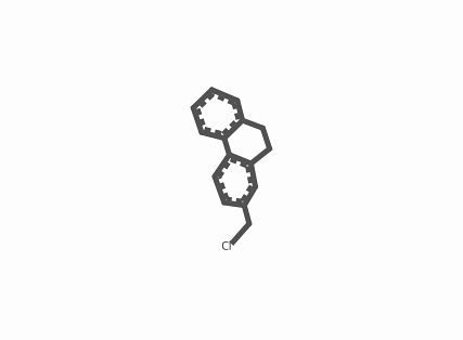 ClCc1ccc2c(c1)CCc1ccccc1-2